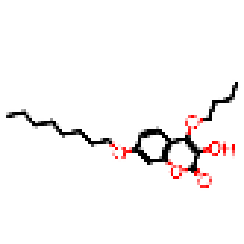 CCCCCCCCOc1ccc2c(OCCCC)c(O)c(=O)oc2c1